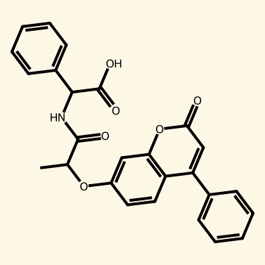 CC(Oc1ccc2c(-c3ccccc3)cc(=O)oc2c1)C(=O)NC(C(=O)O)c1ccccc1